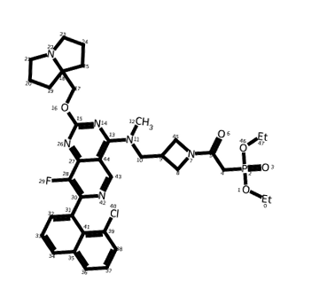 CCOP(=O)(CC(=O)N1CC(CN(C)c2nc(OCC34CCCN3CCC4)nc3c(F)c(-c4cccc5cccc(Cl)c45)ncc23)C1)OCC